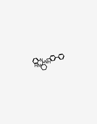 c1ccc(-c2ccc(CNC3=Nc4ccccc4NC34CCCCC4)cc2)cc1